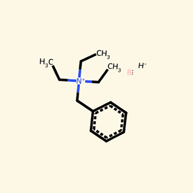 CC[N+](CC)(CC)Cc1ccccc1.[B].[H-]